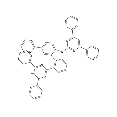 c1ccc(C2=NC(c3cccc4c3c3cc(-c5ccccc5)ccc3n4-c3nc(-c4ccccc4)cc(-c4ccccc4)n3)=NC(c3ccccc3)N2)cc1